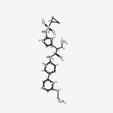 CCOc1cncc(-c2ccc(NC(=O)C(CC)c3csc(NS(=O)(=O)C4CC4)n3)nc2)n1